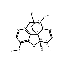 COc1ccc2c3c1O[C@H]1[C@@H](C)C=CC4[C@@H](C2)N(C)CC[C@@]341